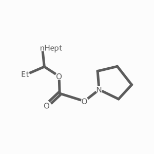 CCCCCCCC(CC)OC(=O)ON1CCCC1